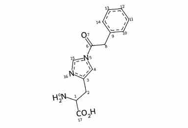 NC(Cc1cn(C(=O)Cc2ccccc2)cn1)C(=O)O